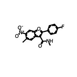 CNC(=O)c1c(-c2ccc(F)cc2)oc2cc([N+](=O)[O-])c(C)cc12